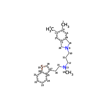 Cc1cc2c(cc1C)CN(CCCN(C)CCc1csc3ccccc13)C2